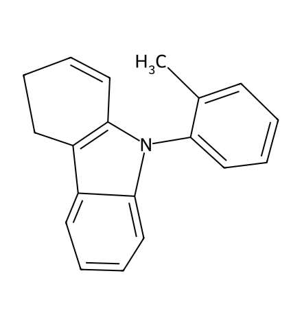 Cc1ccccc1-n1c2c(c3ccccc31)CCC=C2